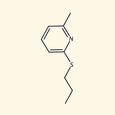 CCCSc1cccc(C)n1